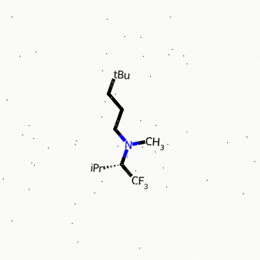 CC(C)[C@H](N(C)CCCC(C)(C)C)C(F)(F)F